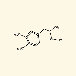 CCCNC(C)Cc1ccc(OC)c(OC)c1